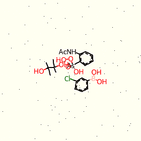 CC(=O)Nc1ccccc1[As](=O)(O)OO.CC(C)(O)C(C)(C)O.OB(O)c1cccc(Cl)c1